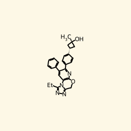 CCc1nnc2n1-c1cc(-c3ccccc3)c(-c3ccc([C@H]4C[C@@](C)(O)C4)cc3)nc1OC2